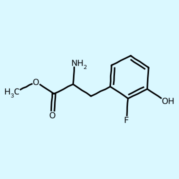 COC(=O)C(N)Cc1cccc(O)c1F